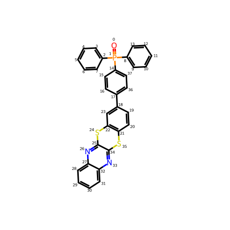 O=P(c1ccccc1)(c1ccccc1)c1ccc(-c2ccc3c(c2)Sc2nc4ccccc4nc2S3)cc1